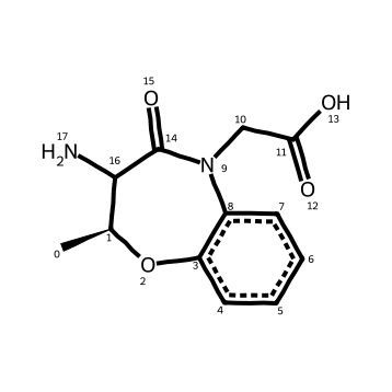 C[C@@H]1Oc2ccccc2N(CC(=O)O)C(=O)C1N